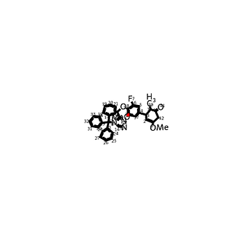 COC1=CC(c2cc(F)c(OCc3nncn3C(c3ccccc3)(c3ccccc3)c3ccccc3)c(OC)c2)C(C)C(=O)C1